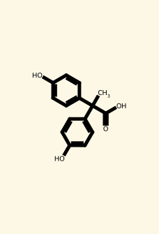 CC(C(=O)O)(c1ccc(O)cc1)c1ccc(O)cc1